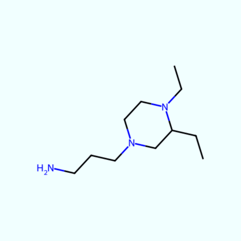 CCC1CN(CCCN)CCN1CC